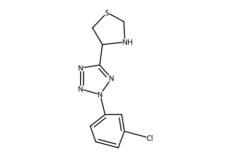 Clc1cccc(-n2nnc(C3CSCN3)n2)c1